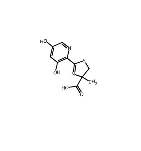 CC1(C(=O)O)CSC(c2ncc(O)cc2O)=N1